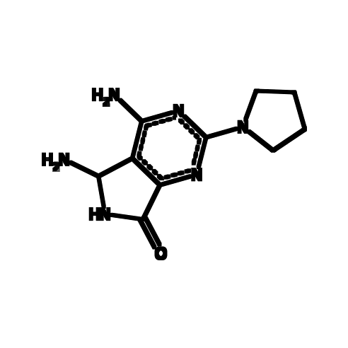 Nc1nc(N2CCCC2)nc2c1C(N)NC2=O